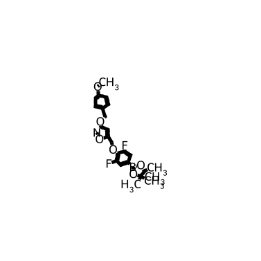 COc1ccc(COc2cc(COc3c(F)cc(B4OC(C)(C)C(C)(C)O4)cc3F)on2)cc1